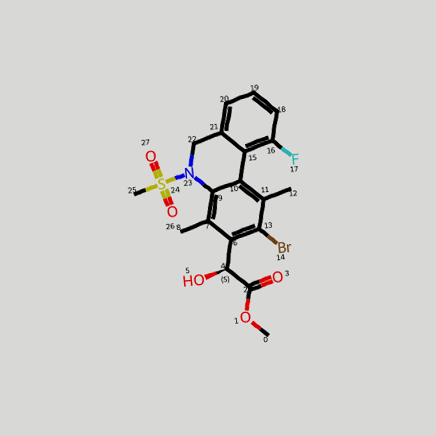 COC(=O)[C@@H](O)c1c(C)c2c(c(C)c1Br)-c1c(F)cccc1CN2S(C)(=O)=O